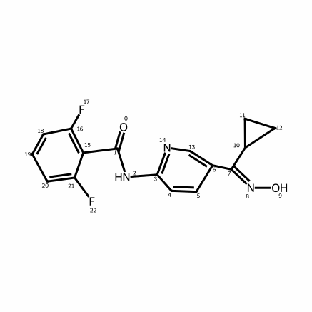 O=C(Nc1ccc(/C(=N/O)C2CC2)cn1)c1c(F)cccc1F